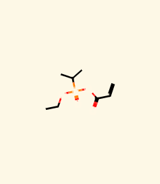 C=CC(=O)OP(=O)(OCC)C(C)C